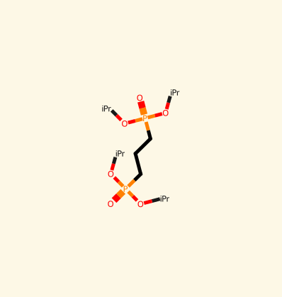 CC(C)OP(=O)(CCCP(=O)(OC(C)C)OC(C)C)OC(C)C